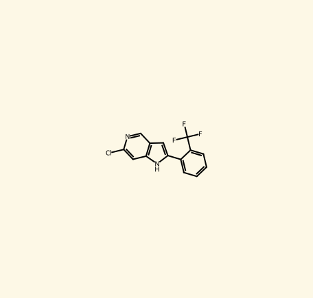 FC(F)(F)c1ccccc1-c1cc2cnc(Cl)cc2[nH]1